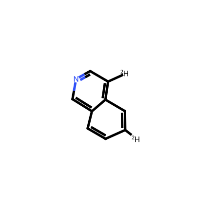 [2H]c1ccc2cncc([2H])c2c1